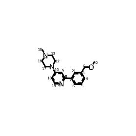 COCc1cccc(-c2cc(N3CCN(C)CC3)ccn2)c1